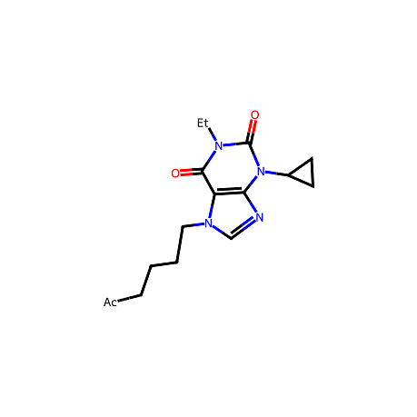 CCn1c(=O)c2c(ncn2CCCCC(C)=O)n(C2CC2)c1=O